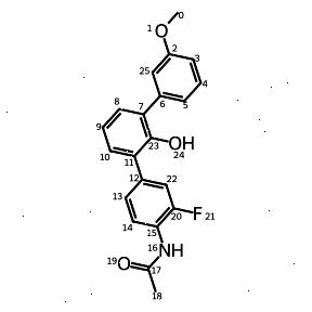 COc1cccc(-c2cccc(-c3ccc(NC(C)=O)c(F)c3)c2O)c1